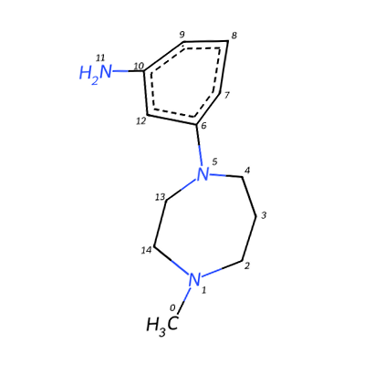 CN1CCCN(c2cc[c]c(N)c2)CC1